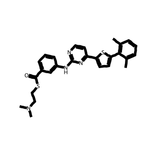 Cc1cccc(C)c1-c1ccc(-c2ccnc(Nc3cccc(C(=O)SCCN(C)C)c3)n2)s1